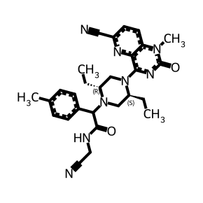 CC[C@H]1CN(C(C(=O)NCC#N)c2ccc(C)cc2)[C@H](CC)CN1c1nc(=O)n(C)c2ccc(C#N)nc12